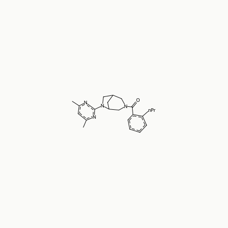 CCCc1ccccc1C(=O)N1CC2CC(C1)N(c1nc(C)cc(C)n1)C2